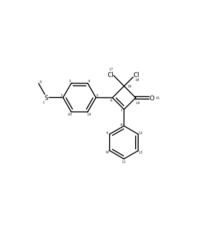 CSc1ccc(C2=C(c3ccccc3)C(=O)C2(Cl)Cl)cc1